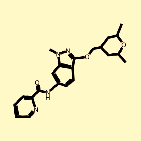 CC1CC(COc2nn(C)c3cc(NC(=O)c4ccccn4)ccc23)CC(C)O1